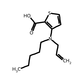 C=CCN(CCCCC)c1ccsc1C(=O)O